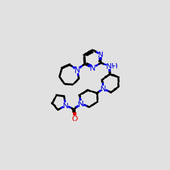 O=C(N1CCCC1)N1CCC(N2CCCC(Nc3nccc(N4CCCCCC4)n3)C2)CC1